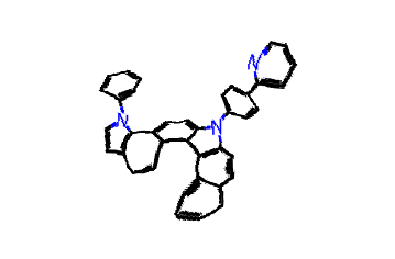 c1ccc(-n2ccc3ccc4c(ccc5c4c4c6ccccc6ccc4n5-c4ccc(-c5ccccn5)cc4)c32)cc1